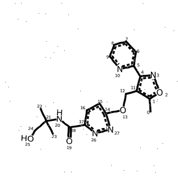 Cc1onc(-c2ccccn2)c1COc1ccc(C(=O)NC(C)(C)CO)nn1